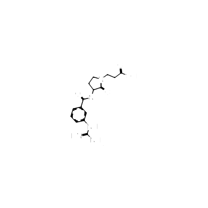 N=C(N)Nc1cccc(C(=O)NC2CCN(CCC(=O)O)C2=O)c1